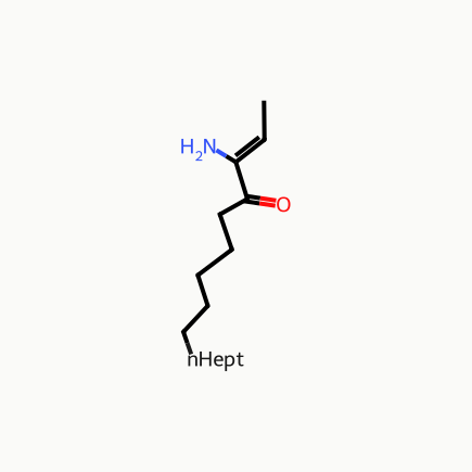 C/C=C(\N)C(=O)CCCCCCCCCCCC